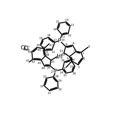 Cc1ccc(C)c2c1C=C(P(c1ccccc1)c1ccccc1)[CH]2[Hf+2][CH]1C(P(c2ccccc2)c2ccccc2)=Cc2c(C)ccc(C)c21.[Cl-].[Cl-]